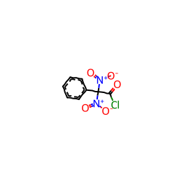 O=C(Cl)C(c1ccccc1)([N+](=O)[O-])[N+](=O)[O-]